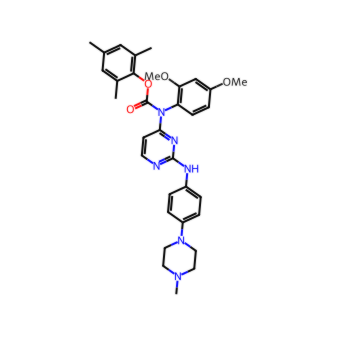 COc1ccc(N(C(=O)Oc2c(C)cc(C)cc2C)c2ccnc(Nc3ccc(N4CCN(C)CC4)cc3)n2)c(OC)c1